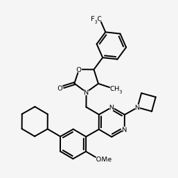 COc1ccc(C2CCCCC2)cc1-c1cnc(N2CCC2)nc1CN1C(=O)OC(c2cccc(C(F)(F)F)c2)C1C